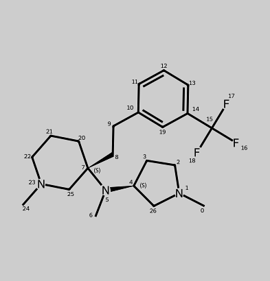 CN1CC[C@H](N(C)[C@@]2(CCc3cccc(C(F)(F)F)c3)CCCN(C)C2)C1